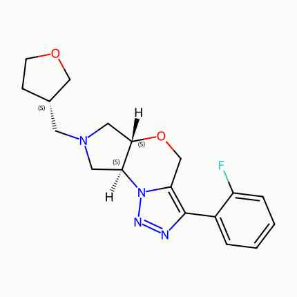 Fc1ccccc1-c1nnn2c1CO[C@H]1CN(C[C@@H]3CCOC3)C[C@@H]12